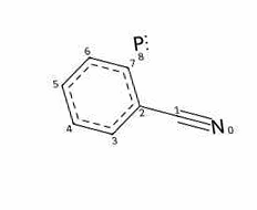 N#Cc1ccccc1.[P]